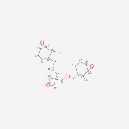 CC1C(COCC2(COCC3CCC4OC4C3C)COC2)CCC2OC21